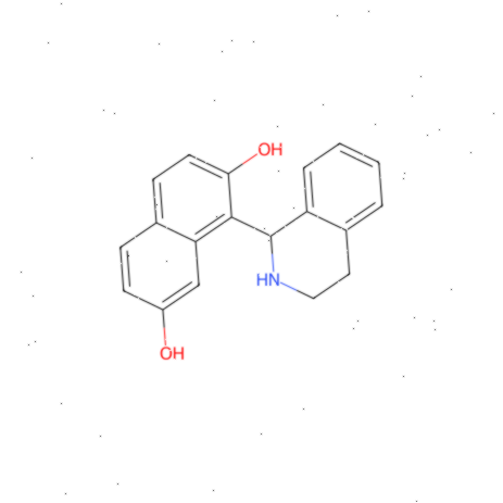 Oc1ccc2ccc(O)c(C3NCCc4ccccc43)c2c1